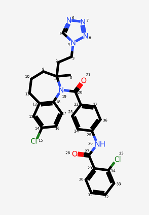 CC1(CCn2cnnn2)CCCc2cc(Cl)ccc2N1C(=O)c1ccc(NC(=O)c2ccccc2Cl)cc1